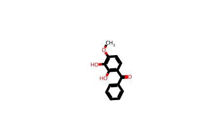 COc1ccc(C(=O)c2ccccc2)c(O)c1O